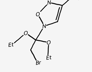 CCOC(CBr)(OCC)N1C=C(C)NO1